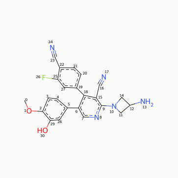 COc1ccc(-c2cnc(N3CC(N)C3)c(C#N)c2-c2ccc(C#N)c(F)c2)cc1O